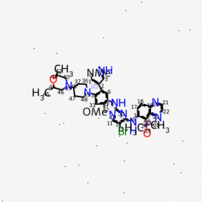 CN/C=C(\C=N)c1cc(Nc2ncc(Br)c(Nc3ccc4nccnc4c3P(C)(C)=O)n2)c(OC)cc1N1CCC(N2CC(C)OC(C)C2)CC1